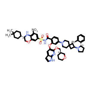 CC(C)c1ccccc1[C@@H]1CCCN1C1CC2(CCN(c3ccc(C(=O)NS(=O)(=O)c4cc5c(c([N+](=O)[O-])c4)N[C@@H](C4CCC(C)(C)CC4)CO5)c(Oc4cc5cc[nH]c5nc4OC[C@@H]4CCCOC4)c3)CC2)C1